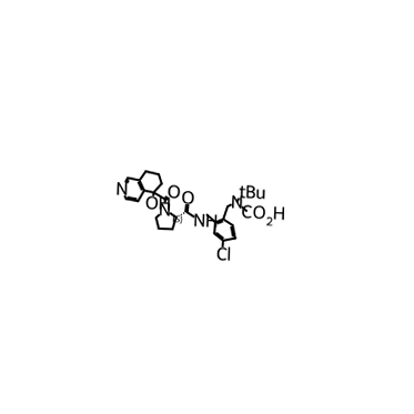 CC(C)(C)N(Cc1ccc(Cl)cc1CNC(=O)[C@@H]1CCCN1C(=O)C1(O)CCCc2cnccc21)C(=O)O